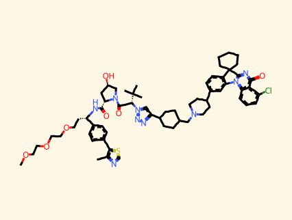 COCCOCCOCC[C@H](NC(=O)[C@@H]1C[C@@H](O)CN1C(=O)[C@@H](n1cc(C2CCC(CN3CCC(c4ccc5c(c4)-n4c(nc(=O)c6c(Cl)cccc64)C54CCCCC4)CC3)CC2)nn1)C(C)(C)C)c1ccc(-c2scnc2C)cc1